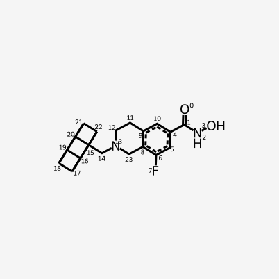 O=C(NO)c1cc(F)c2c(c1)CCN(CC13C4C5C6C4C1C6C53)C2